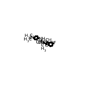 Cc1cc(N(C)C)ccc1NC(=O)N[C@@H](C)c1oc2ccc(F)cc2c1C